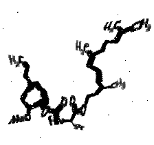 C=CCc1ccc(OC(=O)N[C@H](C(=O)OCC=C(C)CCC=C(C)CCC=C(C)C)C(C)C)c(OC)c1